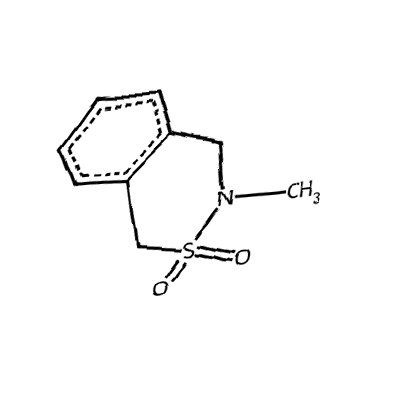 CN1Cc2ccccc2CS1(=O)=O